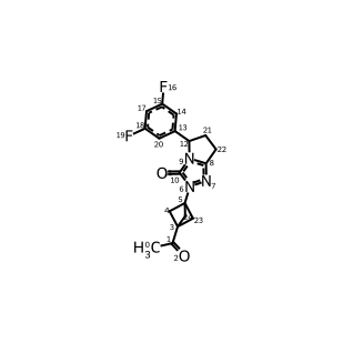 CC(=O)C12CC(n3nc4n(c3=O)C(c3cc(F)cc(F)c3)CC4)(C1)C2